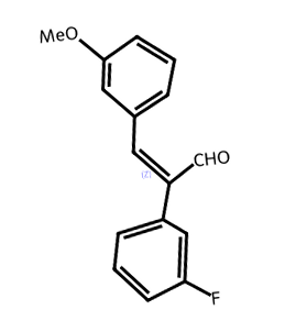 COc1cccc(/C=C(\C=O)c2cccc(F)c2)c1